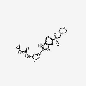 O=C(NC1=CN(c2nc3cc(S(=O)(=O)CN4CCOCC4)ccc3[nH]2)CS1)NC1CC1